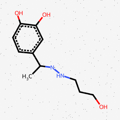 CC([N]NCCCO)c1ccc(O)c(O)c1